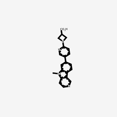 Cn1c2ccncc2c2ccc(-c3ccc(N4CC(C(=O)O)C4)nc3)cc21